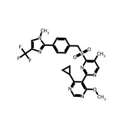 COc1ncnc(C2CC2)c1-c1ncc(C)c(S(=O)(=O)Cc2ccc(-c3nc(C(F)(F)F)cn3C)cc2)n1